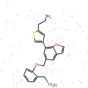 CCOC(=O)Cc1ccccc1OCc1cc(-c2csc(CCN)c2)c2occc2c1